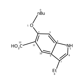 CCCCOc1cc2[nH]cc(CC)c2cc1C(=O)O